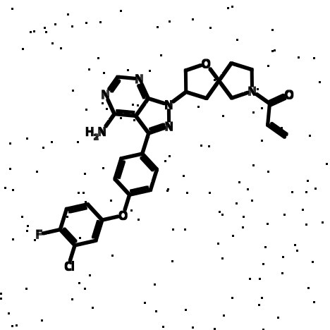 C=CC(=O)N1CCC2(CC(n3nc(-c4ccc(Oc5ccc(F)c(Cl)c5)cc4)c4c(N)ncnc43)CO2)C1